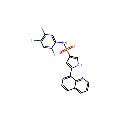 O=S(=O)(Nc1cc(F)c(Br)cc1F)c1c[nH]c(-c2cccc3cccnc23)c1